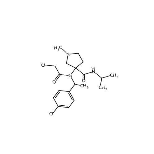 CC(C)NC(=O)C1(N(C(=O)CCl)C(C)c2ccc(Cl)cc2)CCN(C)C1